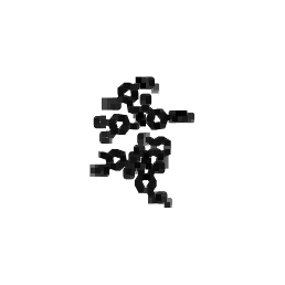 CSc1ccc2c(c1)c(=O)n(Cc1cc([N+](=O)[O-])ccc1O)n2Cc1ccc(Cl)c(Cl)c1.Cc1ccc(S(=O)(=O)n2c3ccc([N+](=O)[O-])cc3c(=O)n2C(=O)c2c(Cl)cccc2Cl)cc1O